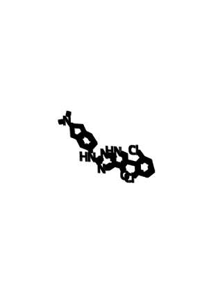 CN(C)C1Cc2ccc(Nc3ncc4c(=O)c(-c5c(Cl)cccc5Cl)c[nH]c4n3)cc2C1